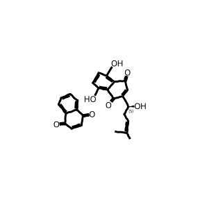 CC(C)=CC[C@H](O)C1=CC(=O)c2c(O)ccc(O)c2C1=O.O=C1C=CC(=O)c2ccccc21